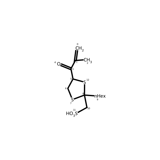 C=C(C)C(=O)C1CSC(CCCCCC)(CS(=O)(=O)O)S1